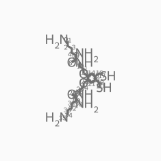 NCCCC[C@H](N)C(=O)NCCOc1cc(CS)c(CS)cc1OCCNC(=O)[C@@H](N)CCCCN